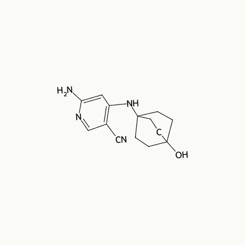 N#Cc1cnc(N)cc1NC12CCC(O)(CC1)CC2